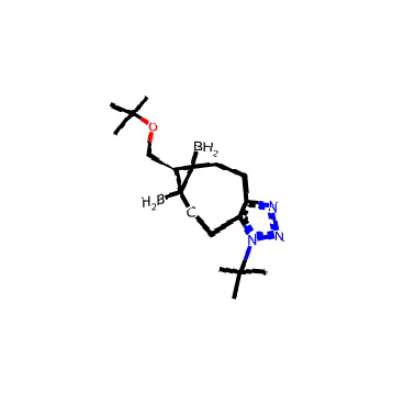 BC12CCc3nnn(C(C)(C)C)c3CCC1(B)[C@H]2COC(C)(C)C